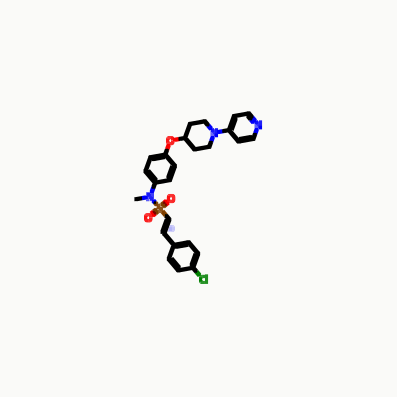 CN(c1ccc(OC2CCN(c3ccncc3)CC2)cc1)S(=O)(=O)/C=C/c1ccc(Cl)cc1